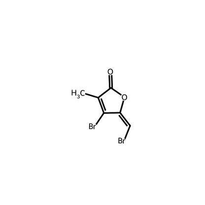 CC1=C(Br)C(=CBr)OC1=O